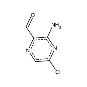 Nc1nc(Cl)cnc1C=O